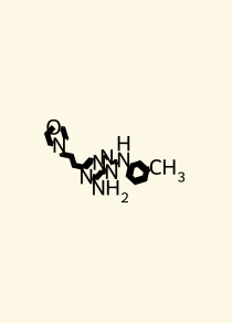 Cc1cccc(Nc2nc3c(N)nc(CCCN4CCOCC4)cn3n2)c1